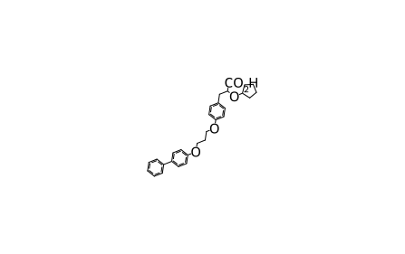 O=C(O)C(Cc1ccc(OCCCOc2ccc(-c3ccccc3)cc2)cc1)OC1CCCC1